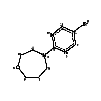 Brc1cnc(N2CCCOCC2)nc1